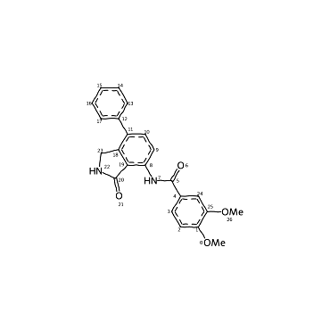 COc1ccc(C(=O)Nc2ccc(-c3ccccc3)c3c2C(=O)NC3)cc1OC